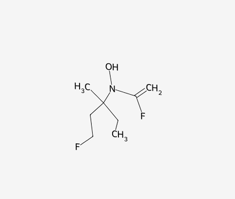 C=C(F)N(O)C(C)(CC)CCF